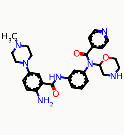 CN1CCN(c2ccc(N)c(C(=O)Nc3cccc(N(C(=O)c4ccncc4)C4CNCCO4)c3)c2)CC1